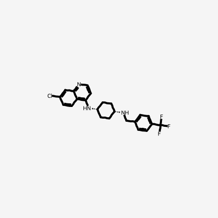 FC(F)(F)c1ccc(CN[C@H]2CC[C@@H](Nc3ccnc4cc(Cl)ccc34)CC2)cc1